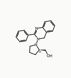 OC[C@H]1CCCN1N1Cc2ccccc2N=C1c1ccccc1